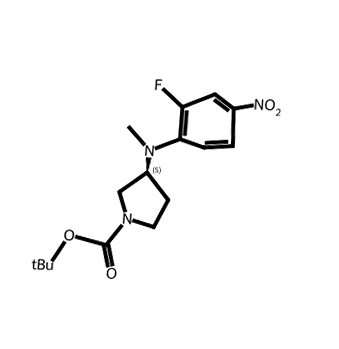 CN(c1ccc([N+](=O)[O-])cc1F)[C@H]1CCN(C(=O)OC(C)(C)C)C1